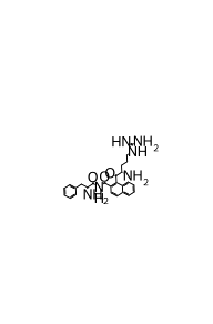 N=C(N)NCCC[C@H](N)C(=O)c1c(C(=O)NC(=O)[C@@H](N)Cc2ccccc2)ccc2ccccc12